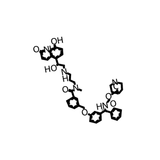 CN(CCCNCC(O)c1ccc(O)c2[nH]c(=O)ccc12)C(=O)c1cccc(COc2cccc([C@@H](NC(=O)OC3CN4CCC3CC4)c3ccccc3)c2)c1